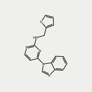 c1coc(CNc2nccc(-n3cnc4ccccc43)n2)c1